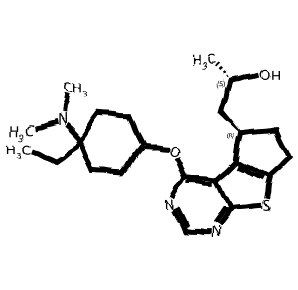 CCC1(N(C)C)CCC(Oc2ncnc3sc4c(c23)[C@@H](C[C@H](C)O)CC4)CC1